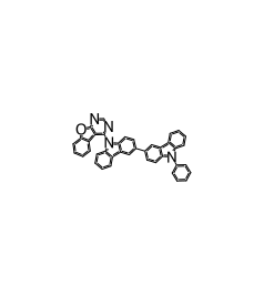 c1ccc(-n2c3ccccc3c3cc(-c4ccc5c(c4)c4ccccc4n5-c4ncnc5oc6ccccc6c45)ccc32)cc1